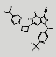 C[C@@H](c1ccc(C(F)(F)F)nc1)n1nc(C#N)c2c(=O)[nH]c([C@H]3CC[C@@H]3c3ncc(C(F)F)cn3)nc21